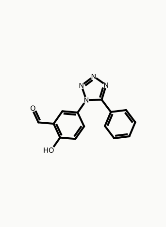 O=Cc1cc(-n2nnnc2-c2ccccc2)ccc1O